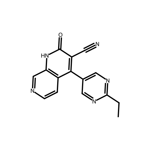 CCc1ncc(-c2c(C#N)c(=O)[nH]c3cnccc23)cn1